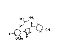 COc1cc(F)cc(OCC(O)CN)c1-c1cc(Nc2cnc(C#N)cn2)n[nH]1